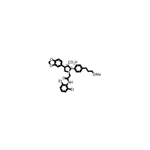 CCc1cccc(CC)c1NC(=O)CN1CC(c2ccc3c(c2)OCO3)[C@H](C(=O)O)[C@H]1c1ccc(CCCOC)cc1